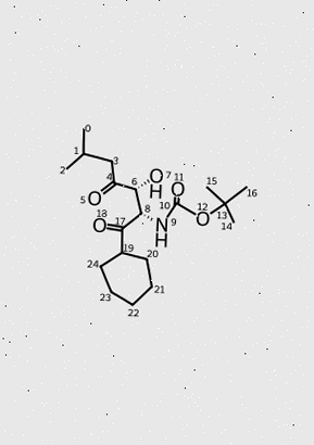 CC(C)CC(=O)[C@H](O)[C@H](NC(=O)OC(C)(C)C)C(=O)C1CCCCC1